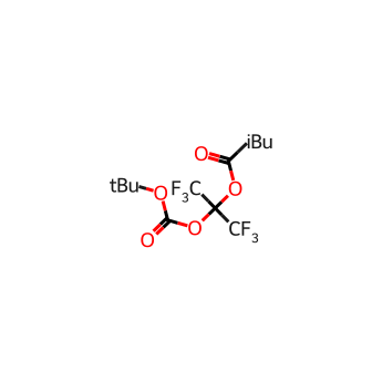 CCC(C)C(=O)OC(OC(=O)OC(C)(C)C)(C(F)(F)F)C(F)(F)F